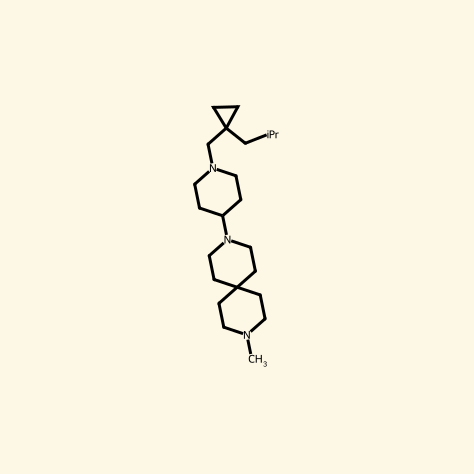 CC(C)CC1(CN2CCC(N3CCC4(CCN(C)CC4)CC3)CC2)CC1